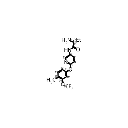 CC[C@@H](N)C(=O)Nc1ccc(Oc2ccc(C)c(OC(F)(F)F)c2)nc1